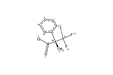 C[C@@](C(=O)Cl)(c1ccccc1)C(F)(F)F